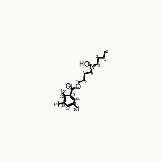 CCCCN(O)CCCCOC(=O)c1cc(I)cc(I)c1I